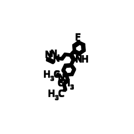 CCCCC1(N(C)C)CC=C(c2[nH]c3ccc(F)cc3c2CCn2ccnn2)CC1